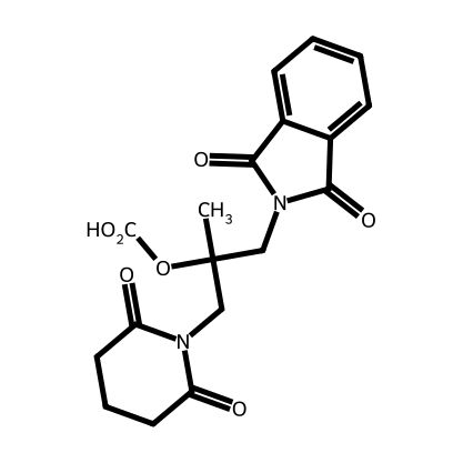 CC(CN1C(=O)CCCC1=O)(CN1C(=O)c2ccccc2C1=O)OC(=O)O